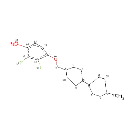 CC1CCC(C2CCC(COc3ccc(O)c(F)c3F)CC2)CC1